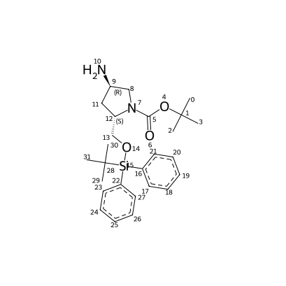 CC(C)(C)OC(=O)N1C[C@H](N)C[C@H]1CO[Si](c1ccccc1)(c1ccccc1)C(C)(C)C